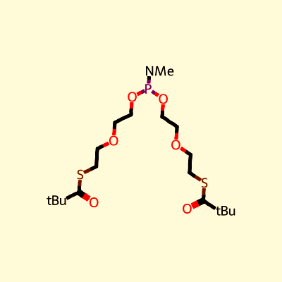 CNP(OCCOCCSC(=O)C(C)(C)C)OCCOCCSC(=O)C(C)(C)C